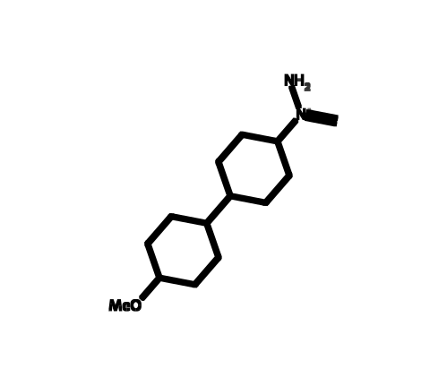 C=[N+](N)C1CCC(C2CCC(OC)CC2)CC1